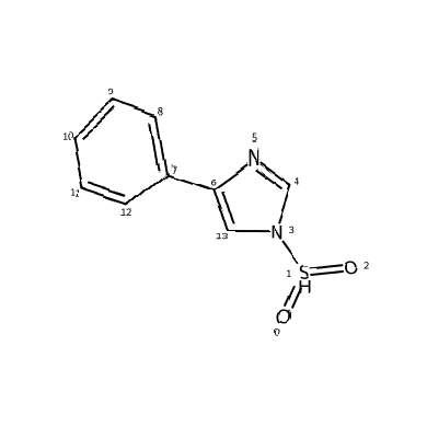 O=[SH](=O)n1cnc(-c2ccccc2)c1